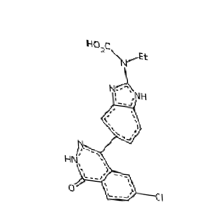 CCN(C(=O)O)c1nc2cc(-c3n[nH]c(=O)c4ccc(Cl)cc34)ccc2[nH]1